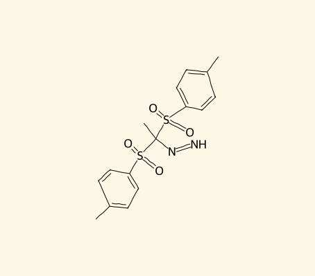 Cc1ccc(S(=O)(=O)C(C)(N=N)S(=O)(=O)c2ccc(C)cc2)cc1